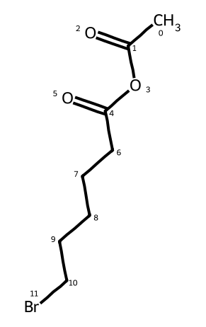 CC(=O)OC(=O)CCCCCBr